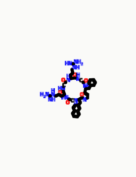 N=C(N)NCCCC1NC(=O)CNC(=O)C(CCCNC(=N)N)NC(=O)CNC(Cc2ccc3ccccc3c2)C2=NCC=C(O2)C(Cc2ccccc2)NC(=O)CNC1=O